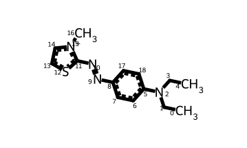 CCN(CC)c1ccc(/N=N/c2scc[n+]2C)cc1